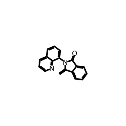 C=C1c2ccccc2C(=O)N1c1cccc2cccnc12